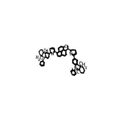 CC12CCCCC1(C)N(c1ccccc1)c1ccc(-c3cccc(-c4ccc5ccc6c(-c7cccc(-c8ccc9c(c8)C8(C)CCCCC8(C)N9c8ccccc8)n7)ccc7ccc4c5c76)n3)cc12